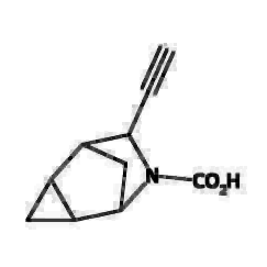 C#CC1C2CC(C3CC23)N1C(=O)O